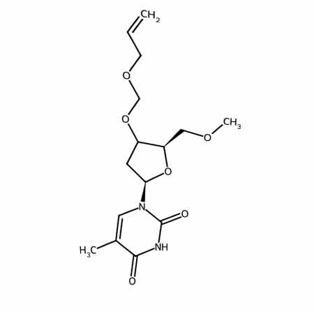 C=CCOCOC1C[C@H](n2cc(C)c(=O)[nH]c2=O)O[C@@H]1COC